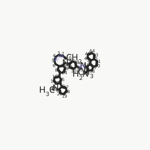 C=C1/C=C\C=C/Cc2cc(-c3ccc4c(c3)c3ccccc3n4C)ccc2N1c1ccc(/C(C)=N/C2=C(N)Cc3ccc4ccccc4c32)cc1